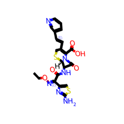 CCO/N=C(\C(=O)NC1C(=O)N2C(C(=O)O)=C(/C=C/c3cccnc3)CS[C@H]12)c1csc(N)n1